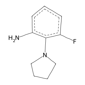 Nc1cccc(F)c1N1CCCC1